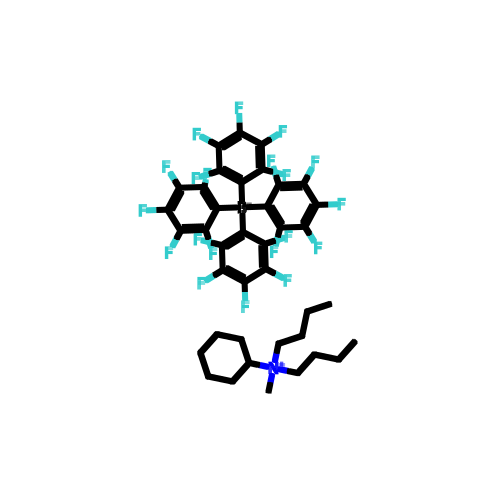 CCCC[N+](C)(CCCC)C1CCCCC1.Fc1c(F)c(F)c([B-](c2c(F)c(F)c(F)c(F)c2F)(c2c(F)c(F)c(F)c(F)c2F)c2c(F)c(F)c(F)c(F)c2F)c(F)c1F